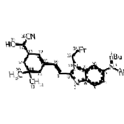 CCCCN(CCCC)c1ccc2nc(C=CC3=CC(C(O)C#N)CC(C)(C)C3)n(CC(C)C)c2c1